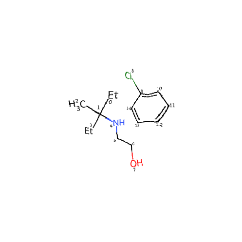 CCC(C)(CC)NCCO.Clc1ccccc1